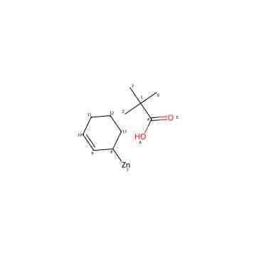 CC(C)(C)C(=O)O.[Zn][CH]1C=CCCC1